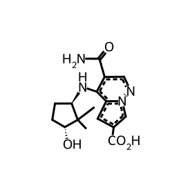 CC1(C)[C@H](O)CC[C@H]1Nc1c(C(N)=O)cnn2cc(C(=O)O)cc12